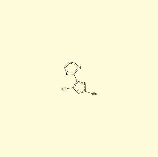 Cn1cc(C(C)(C)C)nc1-c1ncccn1